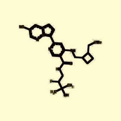 COCC1CCC1CNc1cc(-c2ccc3cc(C#N)cnn23)ncc1C(=O)NCC(F)C(C)(C)O